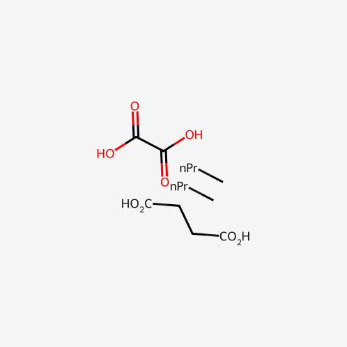 CCCC.CCCC.O=C(O)C(=O)O.O=C(O)CCC(=O)O